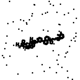 Cc1cccc(OCCCC(=O)N2CCCc3c(-c4cccc(COC(=O)N[C@@H](CCC(N)=O)C(=O)O)c4)cccc32)c1C